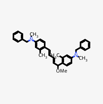 COC(C=CC=Cc1ccc(N(C)Cc2ccccc2)cc1C)c1ccc(N(C)Cc2ccccc2)cc1C